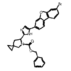 O=C(OCc1ccccc1)N1CC2(CC2)CC1c1ncc(-c2ccc3c(c2)oc2cc(Br)ccc23)[nH]1